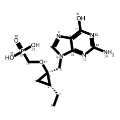 CC[C@@H]1C[C@@]1(Cn1cnc2c(O)nc(N)nc21)OCP(=O)(O)O